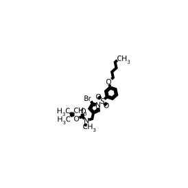 CCCCCOc1cccc(S(=O)(=O)n2cc(CN(C)C(=O)OC(C)(C)C)cc2Br)c1